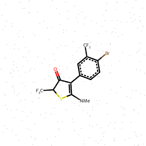 CNC1=C(c2ccc(Br)c(C(F)(F)F)c2)C(=O)C(C(F)(F)F)S1